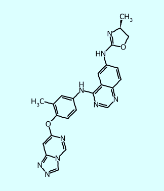 Cc1cc(Nc2ncnc3ccc(NC4=N[C@@H](C)CO4)cc23)ccc1Oc1cc2nncn2cn1